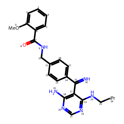 COc1ccccc1C(=O)NCc1ccc(C(=N)c2c(N)ncnc2NCC(C)C)cc1